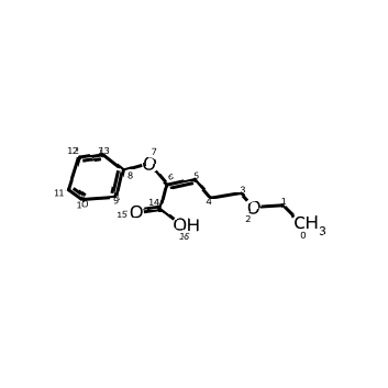 CCOCCC=C(Oc1ccccc1)C(=O)O